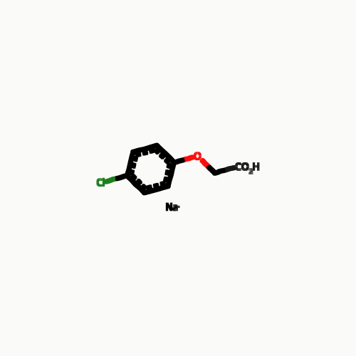 O=C(O)COc1ccc(Cl)cc1.[Na]